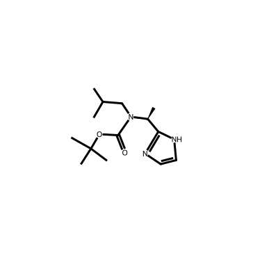 CC(C)CN(C(=O)OC(C)(C)C)[C@@H](C)c1ncc[nH]1